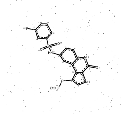 CCOC(=O)Oc1c[nH]c2c(=O)[nH]c3ccc(NS(=O)(=O)c4cccc(F)c4)cc3c12